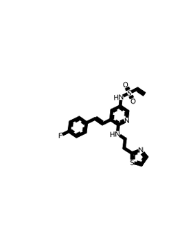 C=CS(=O)(=O)Nc1cnc(NCCc2nccs2)c(C=Cc2ccc(F)cc2)c1